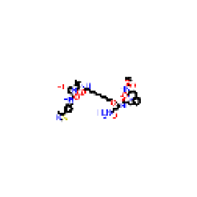 Cc1ncsc1-c1ccc(CNC(=O)[C@@H]2C[C@@H](O)CN2C(=O)[C@@H](NC(=O)CCCCCCCCCOC[C@H](CCC(N)=O)NC(=O)[C@@H]2Cc3cccc4c3N2C(=O)[C@@H](NC(=O)OC(C)(C)C)CC4)C(C)(C)C)cc1